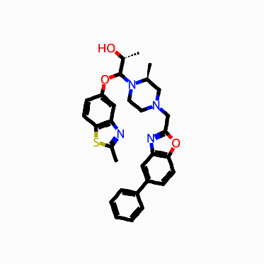 Cc1nc2cc(OC([C@@H](C)O)N3CCN(Cc4nc5cc(-c6ccccc6)ccc5o4)C[C@@H]3C)ccc2s1